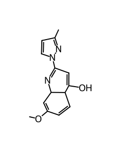 COC1=CC2N=C(n3ccc(C)n3)C=C(O)C2C=C1